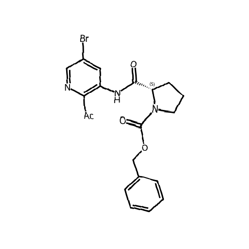 CC(=O)c1ncc(Br)cc1NC(=O)[C@@H]1CCCN1C(=O)OCc1ccccc1